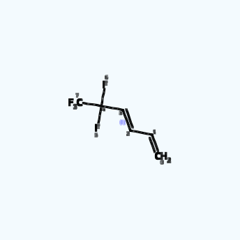 C=C/C=C/C(F)(F)C(F)(F)F